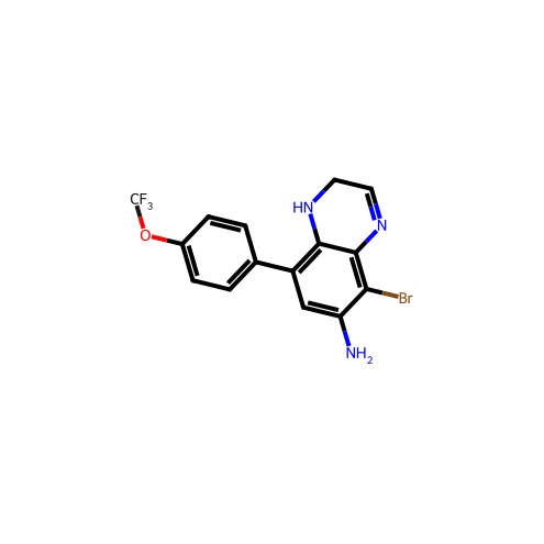 Nc1cc(-c2ccc(OC(F)(F)F)cc2)c2c(c1Br)N=CCN2